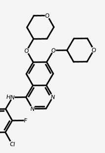 Fc1c(Cl)cccc1Nc1ncnc2cc(OC3CCOCC3)c(OC3CCOCC3)cc12